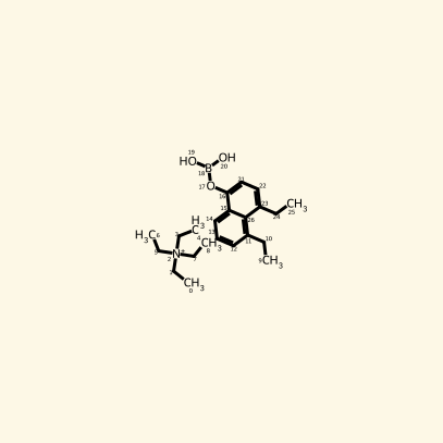 CC[N+](CC)(CC)CC.CCc1cccc2c(OB(O)O)ccc(CC)c12